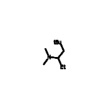 CCC(CC(C)(C)C)N(C)C